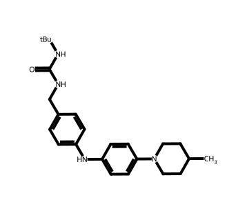 CC1CCN(c2ccc(Nc3ccc(CNC(=O)NC(C)(C)C)cc3)cc2)CC1